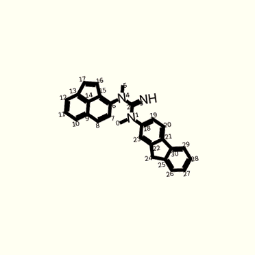 CN(C(=N)N(C)c1ccc2cccc3c2c1C=C3)c1ccc2c(c1)Cc1ccccc1-2